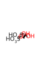 O=S(=O)(O)O.O=S(=O)(O)OCCO